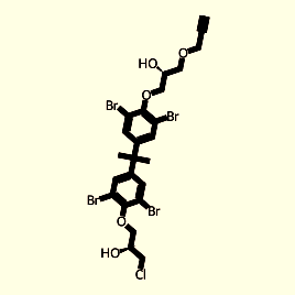 C#CCOC[C@@H](O)COc1c(Br)cc(C(C)(C)c2cc(Br)c(OC[C@H](O)CCl)c(Br)c2)cc1Br